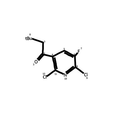 CC(C)(C)CC(=O)c1cc(F)c(Cl)nc1Cl